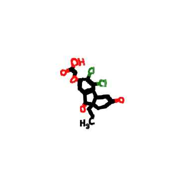 CCCC12CCC(=O)C=C1c1c(cc(OCC(=O)O)c(Cl)c1Cl)C2=O